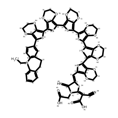 CCN1c2ccccc2CCc2cc(-c3sc(-c4sc(-c5sc(-c6sc(-c7sc(-c8sc(/C=c9\s/c(=C(\C#N)C(=O)O)n(CC(=O)O)c9=N)c9c8OCCO9)c8c7OCCO8)c7c6OCCO7)c6c5OCCO6)c5c4OCCO5)c4c3OCCO4)ccc21